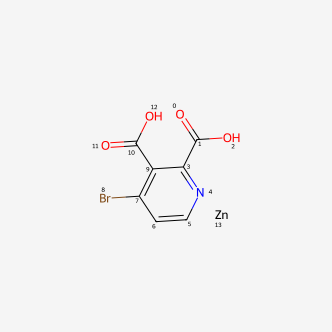 O=C(O)c1nccc(Br)c1C(=O)O.[Zn]